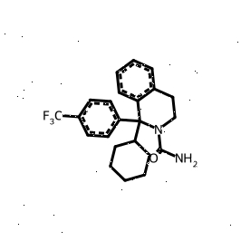 NC(=O)N1CCc2ccccc2C1(c1ccc(C(F)(F)F)cc1)C1CCCCC1